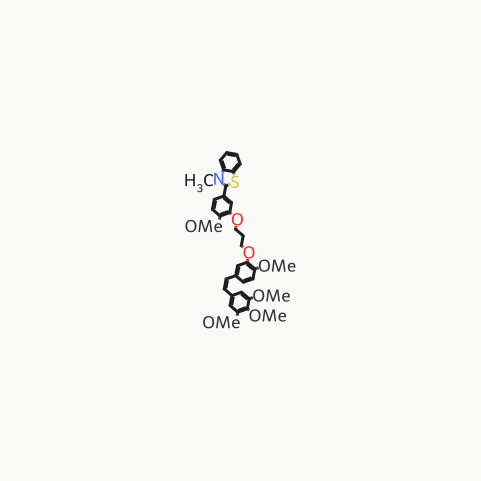 COc1ccc(/C=C\c2cc(OC)c(OC)c(OC)c2)cc1OCCCOc1cc(C2Sc3ccccc3N2C)ccc1OC